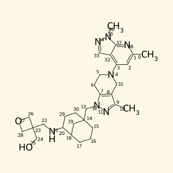 Cc1cc(N2CCc3c(c(C)nn3CC34CCCC(C3)C(NCC3(CO)COC3)CC4)C2)c2cnn(C)c2n1